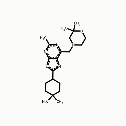 Cc1nc(CN2CCOC(C)(C)C2)c2nc(C3CCC(C)(C)CC3)sc2n1